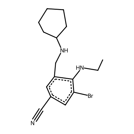 CCNc1c(Br)cc(C#N)cc1CNC1CCCCC1